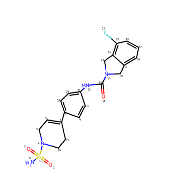 NS(=O)(=O)N1CC=C(c2ccc(NC(=O)N3Cc4cccc(F)c4C3)cc2)CC1